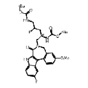 COc1ccc2c(c1)CN(C[C@@H](CC(F)CNC(=O)OC(C)(C)C)NC(=O)OC(C)(C)C)C(=O)c1[nH]c3ccc(F)cc3c1-2